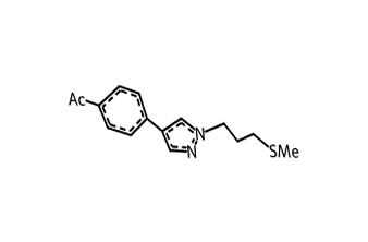 CSCCCn1cc(-c2ccc(C(C)=O)cc2)cn1